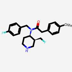 COc1ccc(CC(=O)N(Cc2ccc(F)cc2)[C@@H]2CCNC[C@@H]2CF)cc1